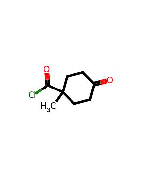 CC1(C(=O)Cl)CCC(=O)CC1